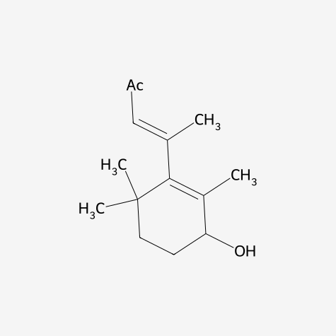 CC(=O)C=C(C)C1=C(C)C(O)CCC1(C)C